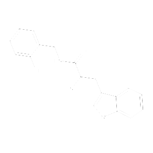 NC(Cc1c[nH]c2ccccc12)C(=O)NCc1ccccc1Cl